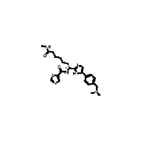 CNC(=O)CCCCC[C@H](NC(=O)c1cncs1)c1ncc(-c2ccc(CN(C)C)cc2)[nH]1